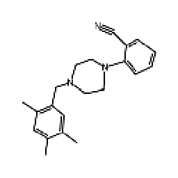 Cc1cc(C)c(CN2CCN(c3ccccc3C#N)CC2)cc1C